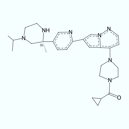 CC(C)N1CCN[C@@](C)(c2ccc(-c3cc4c(N5CCN(C(=O)C6CC6)CC5)ccnn4c3)nc2)C1